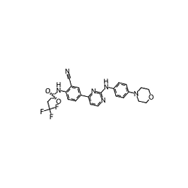 N#Cc1cc(-c2ccnc(Nc3ccc(N4CCOCC4)cc3)n2)ccc1NS(=O)(=O)CC(F)(F)F